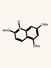 COc1cc(OC)c2ccc(OC)[n+]([O-])c2c1